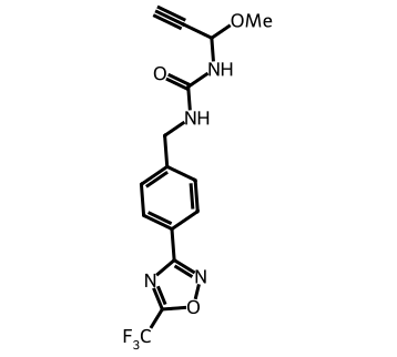 C#CC(NC(=O)NCc1ccc(-c2noc(C(F)(F)F)n2)cc1)OC